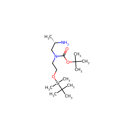 C[C@H](N)CN(CCO[Si](C)(C)C(C)(C)C)C(=O)OC(C)(C)C